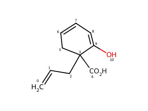 C=CCC1(C(=O)O)C[C]=CC=C1O